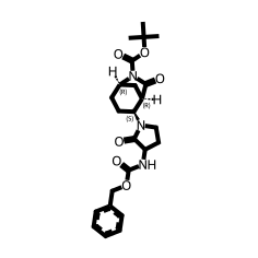 CC(C)(C)OC(=O)N1C(=O)[C@@H]2C[C@H]1CC[C@@H]2N1CCC(NC(=O)OCc2ccccc2)C1=O